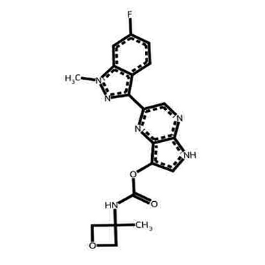 Cn1nc(-c2cnc3[nH]cc(OC(=O)NC4(C)COC4)c3n2)c2ccc(F)cc21